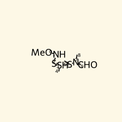 CONS#[SH](C)CSN(C)C=O